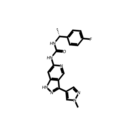 C[C@@H](NC(=O)Nc1cc2[nH]nc(-c3cnn(C)c3)c2cn1)c1ccc(F)cc1